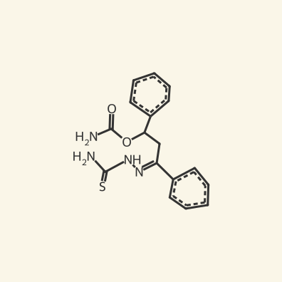 NC(=O)OC(CC(=NNC(N)=S)c1ccccc1)c1ccccc1